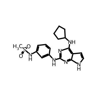 CS(=O)(=O)Nc1cccc(Nc2nc(NC3CCCC3)c3cc[nH]c3n2)c1